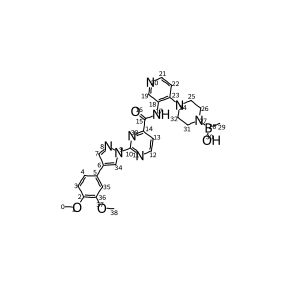 COc1ccc(-c2cnn(-c3nccc(C(=O)Nc4cnccc4N4CCN(B(C)O)CC4)n3)c2)cc1OC